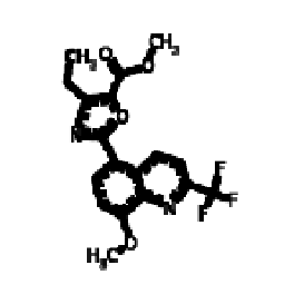 CCc1nc(-c2ccc(OC)c3nc(C(F)(F)F)ccc23)oc1C(=O)OC